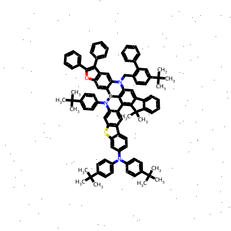 CC(C)(C)c1ccc(N2B3c4cc5oc(-c6ccccc6)c(-c6ccccc6)c5cc4N(Cc4ccc(C(C)(C)C)cc4-c4ccccc4)c4cc5c(c(c43)-c3cc4c(cc32)sc2cc(N(c3ccc(C(C)(C)C)cc3)c3ccc(C(C)(C)C)cc3)ccc24)C(C)(C)c2ccccc2-5)cc1